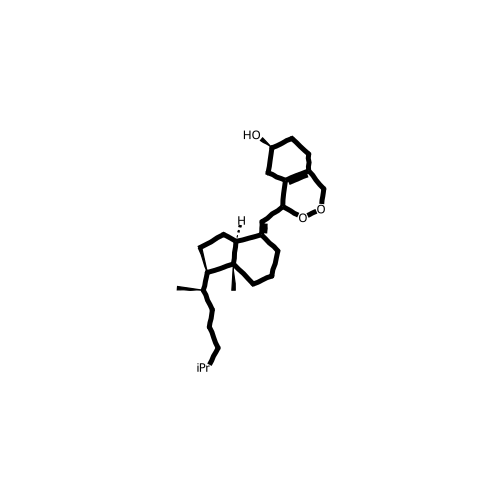 CC(C)CCC[C@@H](C)[C@H]1CC[C@H]2C(=CC3OOCC4=C3C[C@@H](O)CC4)CCC[C@]12C